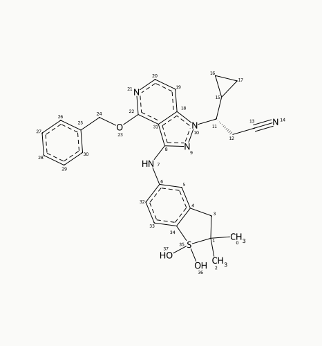 CC1(C)Cc2cc(Nc3nn([C@@H](CC#N)C4CC4)c4ccnc(OCc5ccccc5)c34)ccc2S1(O)O